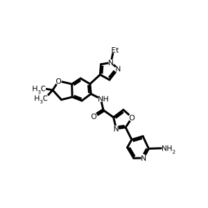 CCn1cc(-c2cc3c(cc2NC(=O)c2coc(-c4ccnc(N)c4)n2)CC(C)(C)O3)cn1